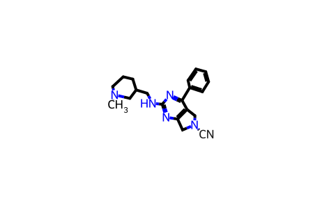 CN1CCCC(CNc2nc3c(c(-c4ccccc4)n2)CN(C#N)C3)C1